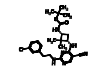 CC(C)(C)OC(=O)N[C@@H]1C[C@H](Nc2nc(NCCc3cccc(Cl)c3)ncc2C#N)C1(C)C